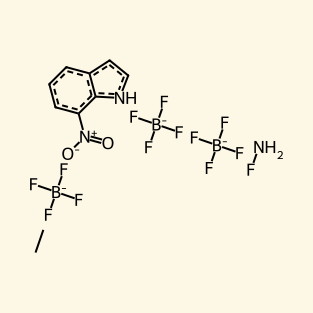 CC.F[B-](F)(F)F.F[B-](F)(F)F.F[B-](F)(F)F.NF.O=[N+]([O-])c1cccc2cc[nH]c12